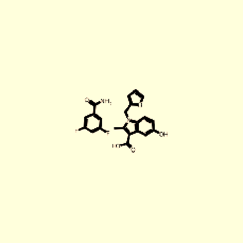 Cc1c(C(=O)O)c2cc(O)ccc2n1Cc1ccco1.NC(=O)c1cc(F)cc(F)c1